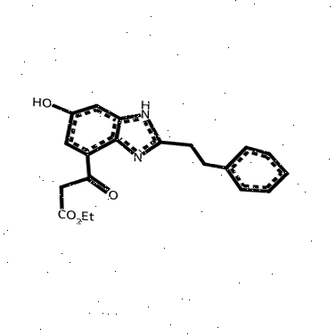 CCOC(=O)CC(=O)c1cc(O)cc2[nH]c(CCc3ccccc3)nc12